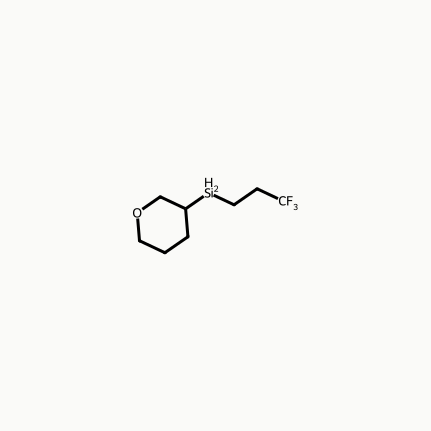 FC(F)(F)CC[SiH2]C1CCCOC1